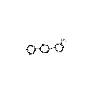 Nc1cccc(-c2ccc(-c3ccccc3)cc2)c1